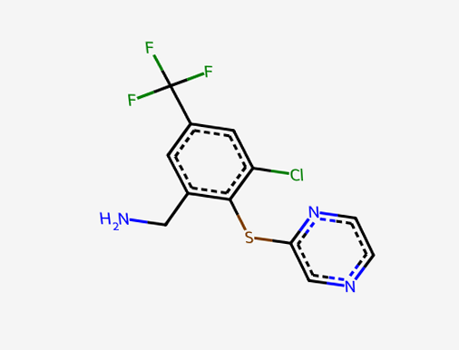 NCc1cc(C(F)(F)F)cc(Cl)c1Sc1cnccn1